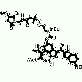 CCCCN(CCSSC(C)(C)CC(=O)NCN1C(=O)CC(SC)C1=O)C(=O)Oc1cc2c(c3c(C(=O)OC)c(C)[nH]c13)[C@H](CCl)CN2C(=O)c1cc2cc([N+](=O)[O-])ccc2[nH]1